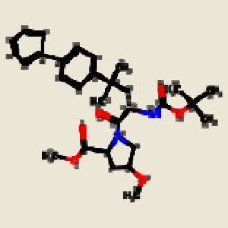 COC(=O)C1CC(OC)CN1C(=O)[C@H](CC(C)(C)c1ccc(-c2ccccc2)cc1)NC(=O)OC(C)(C)C